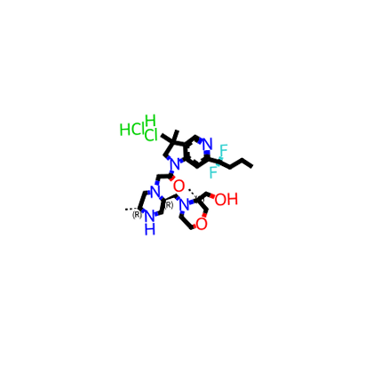 CCCC(F)(F)c1cc2c(cn1)C(C)(C)CN2C(=O)CN1C[C@@H](C)NC[C@@H]1CN1CCOC[C@]1(C)CO.Cl.Cl